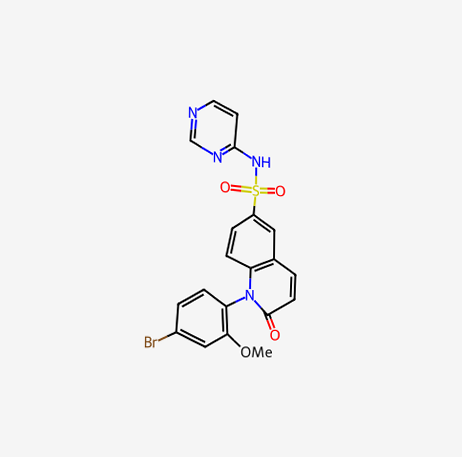 COc1cc(Br)ccc1-n1c(=O)ccc2cc(S(=O)(=O)Nc3ccncn3)ccc21